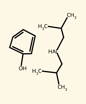 CC(C)[CH2][AlH][CH2]C(C)C.Oc1ccccc1